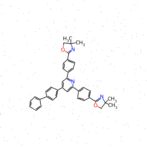 CC1(C)COC(c2ccc(-c3cc(-c4ccc(-c5ccccc5)cc4)cc(-c4ccc(C5=NC(C)(C)CO5)cc4)n3)cc2)=N1